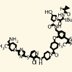 Cc1ncsc1-c1ccc(CNC(=O)[C@@H]2C[C@@H](O)CN2C(=O)[C@@H](NC(=O)C2(F)CC2)C(C)(C)C)c(OC2CCC(C(=O)N3CCC(Nc4nccc(Sc5cnc(N6CCC(C)(CN)CC6)cn5)c4Cl)CC3)CC2)c1